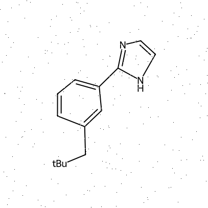 CC(C)(C)Cc1cccc(-c2ncc[nH]2)c1